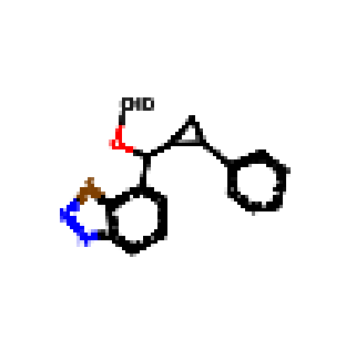 O=COC(c1cccc2nnsc12)C1CC1c1ccccc1